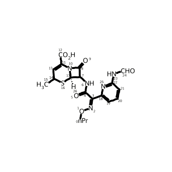 CCCO/N=C(\C(=O)NC1C(=O)N2C(C(=O)O)=CC(C)S[C@H]12)c1cccc(NC=O)n1